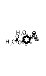 CC(=O)Oc1ccc([N+](=O)[O-])cc1.O